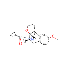 COc1ccc2c(c1)[C@@]13CCCO[C@H]1[C@@H](C2)N(C(=O)C1CC1)CC3